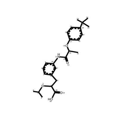 CC(C)OC(Cc1cccc(NC(=O)C(C)Oc2ccc(C(C)(C)C)cc2)c1)C(=O)O